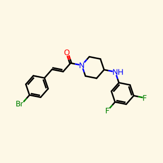 O=C(C=Cc1ccc(Br)cc1)N1CCC(Nc2cc(F)cc(F)c2)CC1